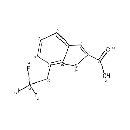 O=C(O)c1cc2cccc(CC(F)(F)F)c2s1